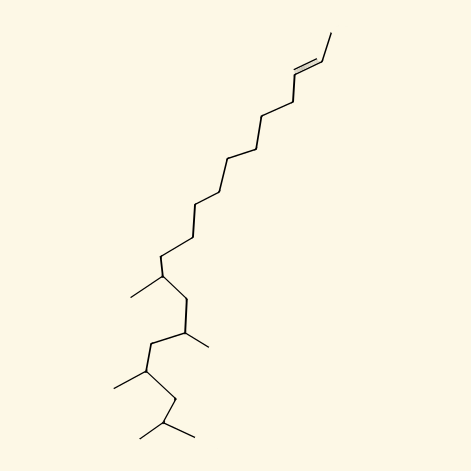 CCCCCCCCC=CCCCCCCCCC(C)CC(C)CC(C)CC(C)C(=O)O